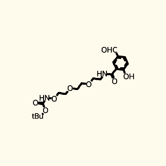 CC(C)(C)OC(=O)NOCCOCCOCCNC(=O)c1cc(C=O)ccc1O